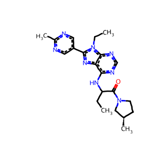 CCC(Nc1ncnc2c1nc(-c1cnc(C)nc1)n2CC)C(=O)N1CC[C@@H](C)C1